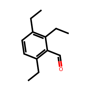 CCc1ccc(CC)c(CC)c1C=O